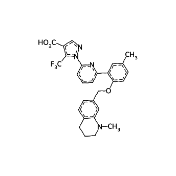 Cc1ccc(OCc2ccc3c(c2)N(C)CCC3)c(-c2cccc(-n3ncc(C(=O)O)c3C(F)(F)F)n2)c1